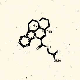 CC[C@@]12C=C(C(=O)NCC(=O)OC)n3c4c(c5ccccc53)CCN(CCC1)[C@H]42